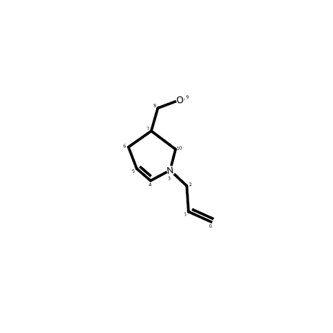 C=CCN1C=CCC(C[O])C1